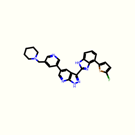 Fc1ccc(-c2cccc3[nH]c(-c4n[nH]c5ncc(-c6cncc(CN7CCCCC7)c6)cc45)nc23)s1